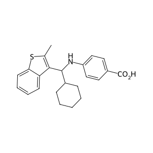 Cc1sc2ccccc2c1C(Nc1ccc(C(=O)O)cc1)C1CCCCC1